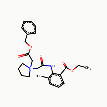 CCOC(=O)c1cccc(C)c1NC(=O)C[N+]1(CC(=O)OCc2ccccc2)CCCC1